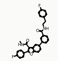 CNC(=O)c1c(-c2ccc(F)cc2)oc2ccc(-c3cccc(C(=O)NCCc4ccc(F)cc4)c3)cc12